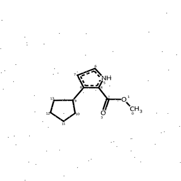 COC(=O)c1[nH]ccc1C1CCCC1